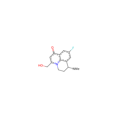 CNC1CCn2c(CO)cc(=O)c3cc(F)cc1c32